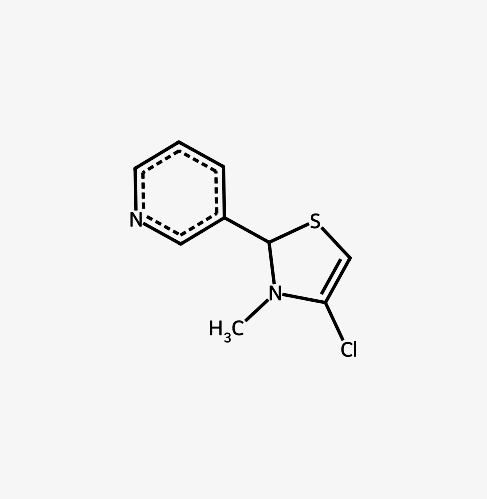 CN1C(Cl)=CSC1c1cccnc1